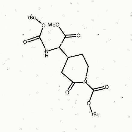 COC(=O)C(NC(=O)OC(C)(C)C)C1CCN(C(=O)OC(C)(C)C)C(=O)C1